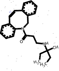 CCC(C)(CC)NCCC(=O)N1Cc2ccccc2/C=C\c2ccccc21